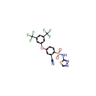 N#Cc1cc(Oc2cc(C(F)(F)F)cc(C(F)(F)F)c2)ccc1S(=O)(=O)Nc1nncs1